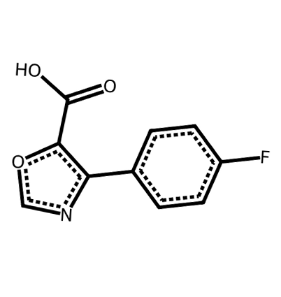 O=C(O)c1ocnc1-c1ccc(F)cc1